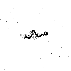 COC(=O)c1ccc(CCCN2C(=O)CCC2C=C[C@@H](O)[C@@H](C)CC#CCCc2ccccc2)s1